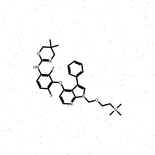 CC1(C)CN=C(Nc2ccc(F)c(Oc3ccnc4c3c(-c3ccccc3)cn4COCC[Si](C)(C)C)c2F)OC1